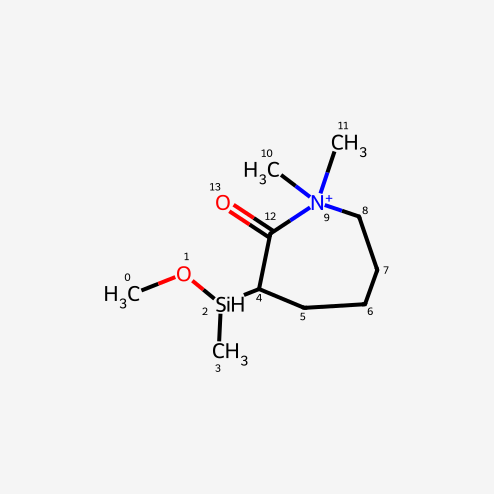 CO[SiH](C)C1CCCC[N+](C)(C)C1=O